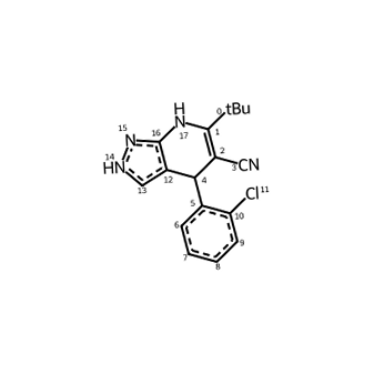 CC(C)(C)C1=C(C#N)C(c2ccccc2Cl)c2c[nH]nc2N1